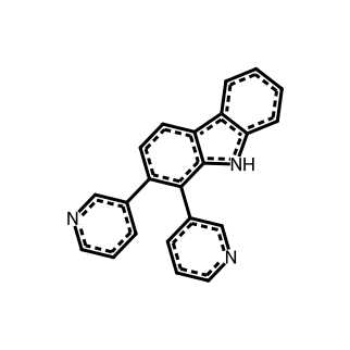 c1cncc(-c2ccc3c([nH]c4ccccc43)c2-c2cccnc2)c1